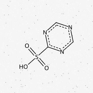 O=S(=O)(O)c1ncncn1